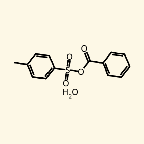 Cc1ccc(S(=O)(=O)OC(=O)c2ccccc2)cc1.O